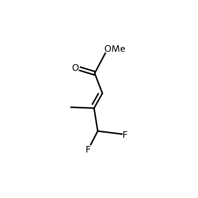 COC(=O)/C=C(\C)C(F)F